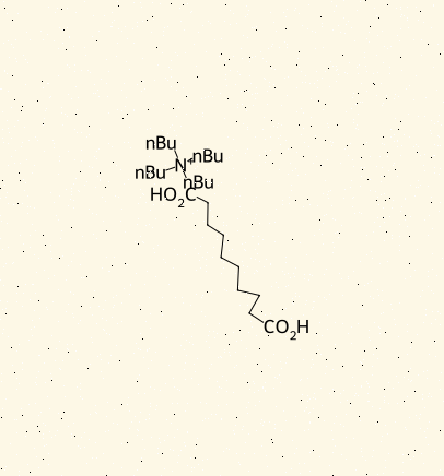 CCCC[N+](CCCC)(CCCC)CCCC.O=C(O)CCCCCCCCC(=O)O